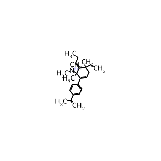 C=C(C)c1ccc(C2=CCC(C)(CC)/C(=C\CC)C2(C)N(C)C)cc1